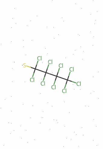 [S]C(Cl)(Cl)C(Cl)(Cl)C(Cl)(Cl)C(Cl)(Cl)Cl